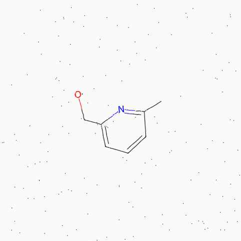 Cc1cccc(C[O])n1